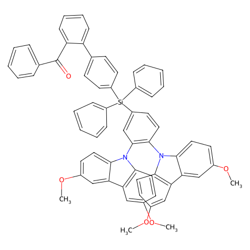 COc1ccc2c(c1)c1cc(OC)ccc1n2-c1ccc([Si](c2ccccc2)(c2ccccc2)c2ccc(-c3ccccc3C(=O)c3ccccc3)cc2)cc1-n1c2ccc(OC)cc2c2cc(OC)ccc21